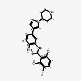 C[C@@H](Nc1cc(-c2cnn(C3CCOCC3)c2)cnc1N)c1c(Cl)ccc(F)c1Cl